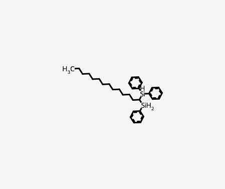 CCCCCCCCCCCCCC([SiH2]c1ccccc1)[SiH](c1ccccc1)c1ccccc1